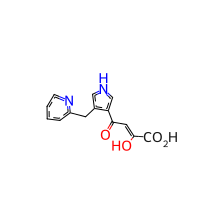 O=C(O)/C(O)=C/C(=O)c1c[nH]cc1Cc1ccccn1